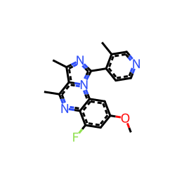 COc1cc(F)c2nc(C)c3c(C)nc(-c4ccncc4C)n3c2c1